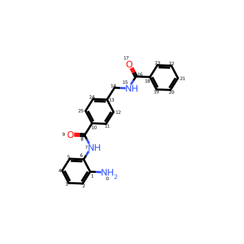 Nc1ccccc1NC(=O)c1ccc(CNC(=O)c2ccccc2)cc1